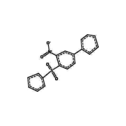 O=[N+]([O-])c1cc(-c2ccccc2)ccc1S(=O)(=O)c1ccccc1